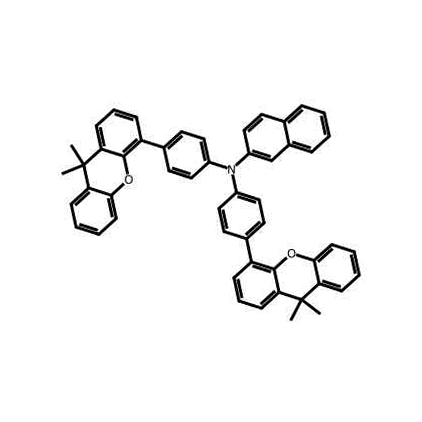 CC1(C)c2ccccc2Oc2c(-c3ccc(N(c4ccc(-c5cccc6c5Oc5ccccc5C6(C)C)cc4)c4ccc5ccccc5c4)cc3)cccc21